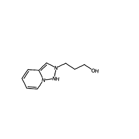 OCCCN1C=C2C=CC=CN2N1